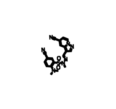 CN(C)c1ccc(C#N)cc1S(=O)(=O)N(C)N=Cc1cnn2ccc(C#N)cc12